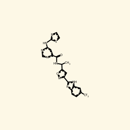 CC(NC(=O)c1cc(Nc2nccs2)ncn1)c1cc(-c2nc3ccc(C(F)(F)F)cc3[nH]2)no1